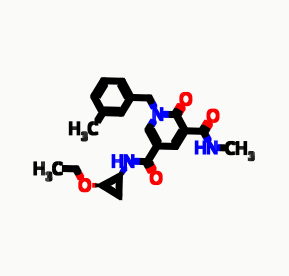 CCO[C@H]1C[C@@H]1NC(=O)c1cc(C(=O)NC)c(=O)n(Cc2cccc(C)c2)c1